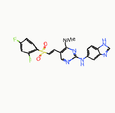 CNc1nc(Nc2ccc3[nH]cnc3c2)ncc1/C=C/S(=O)(=O)c1ccc(F)cc1F